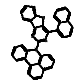 c1ccc2c(c1)-c1cccc3cccc(c13)N2c1nc(-c2cccc3ccccc23)c2oc3ccccc3c2n1